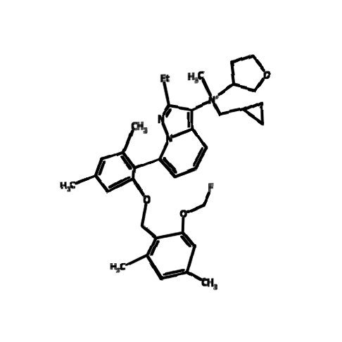 CCc1nn2c(-c3c(C)cc(C)cc3OCc3c(C)cc(C)cc3OCF)cccc2c1[N+](C)(CC1CC1)C1CCOC1